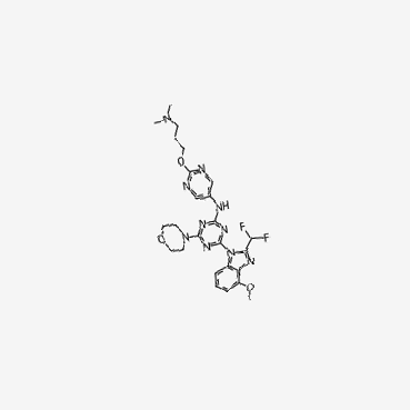 COc1cccc2c1nc(C(F)F)n2-c1nc(Nc2cnc(OCCCN(C)C)nc2)nc(N2CCOCC2)n1